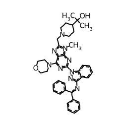 Cn1c(CN2CCC(C(C)(C)O)CC2)nc2c(N3CCOCC3)nc(-n3nc(N=C(c4ccccc4)c4ccccc4)c4ccccc43)nc21